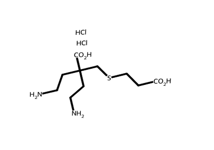 Cl.Cl.NCCC(CCN)(CSCCC(=O)O)C(=O)O